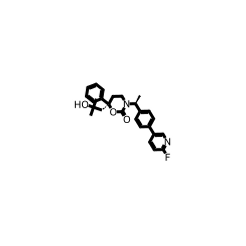 C[C@@H](c1ccc(-c2ccc(F)nc2)cc1)N1CC[C@](CC(C)(C)O)(c2ccccc2)OC1=O